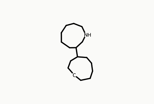 C1CCCCC(C2CCCCCCNC2)CCC1